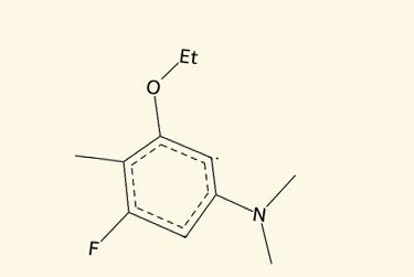 CCOc1[c]c(N(C)C)cc(F)c1C